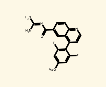 COc1cc(F)c(-c2ccnc3ccc(C(=O)N=C(N)N)cc23)c(F)c1